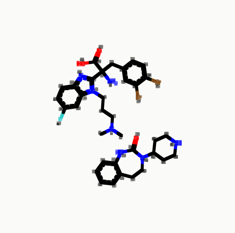 CN(C)CCCn1c(C(N)(Cc2ccc(Br)c(Br)c2)C(=O)O)nc2ccc(F)cc21.O=C1Nc2ccccc2CCN1C1CCNCC1